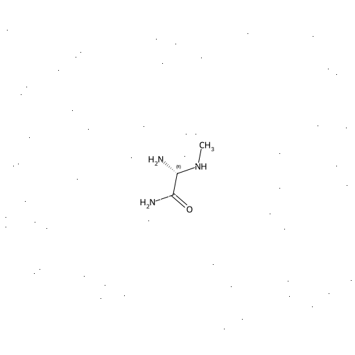 CN[C@@H](N)C(N)=O